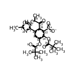 Cc1nc(-c2cc(OC(=O)C(C)(C)C)c(OC(=O)C(C)(C)C)c([N+](=O)[O-])c2C(=O)C(C)C)no1